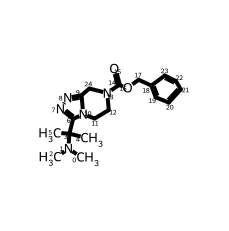 CN(C)C(C)(C)c1nnc2n1CCN(C(=O)OCc1ccccc1)C2